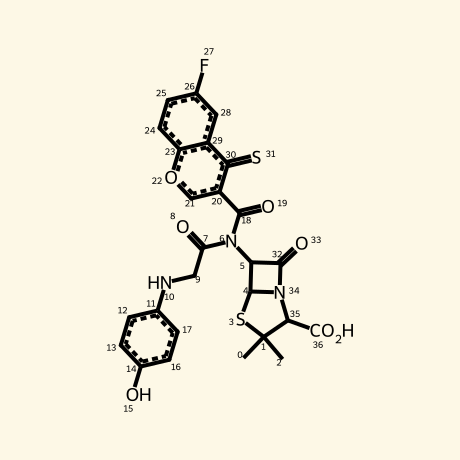 CC1(C)SC2C(N(C(=O)CNc3ccc(O)cc3)C(=O)c3coc4ccc(F)cc4c3=S)C(=O)N2C1C(=O)O